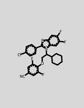 N#Cc1cc(F)c(OCC(C2CCCCC2)n2c(-c3ccc(Cl)cc3)nc3cc(F)c(F)cc32)c(F)c1